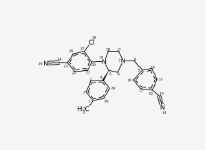 Cc1ccc([C@@H]2CN(Cc3ccc(C#N)cc3)CCN2c2ccc(C#N)cc2Cl)cc1